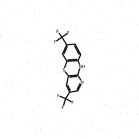 FC(F)(F)c1ccc2c(c1)Sc1cc(C(F)(F)F)cnc1N2